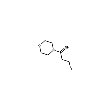 N=C(CC[O])N1CCOCC1